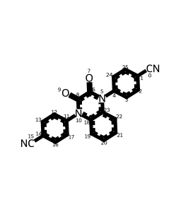 N#Cc1ccc(-n2c(=O)c(=O)n(-c3ccc(C#N)cc3)c3ccccc32)cc1